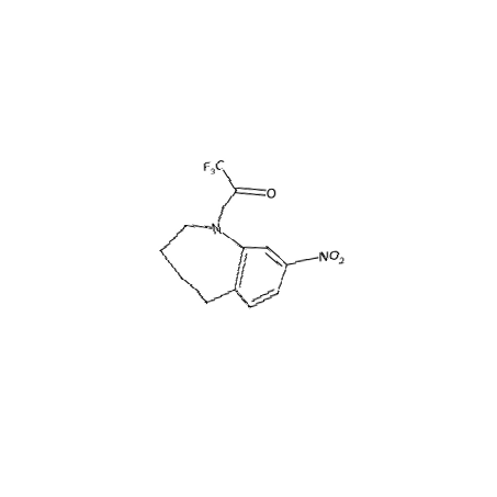 O=C(N1CCCCc2ccc([N+](=O)[O-])cc21)C(F)(F)F